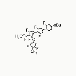 C=C/C(F)=C(\C(F)=C/Cc1c(F)cc(-c2ccc(CCCC)cc2F)cc1F)C(F)(F)Oc1cc(F)c(C(F)(F)F)c(F)c1